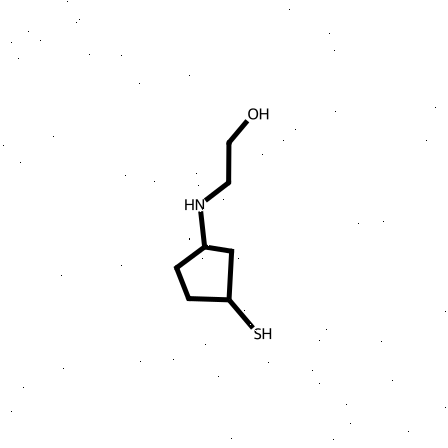 OCCNC1CCC(S)C1